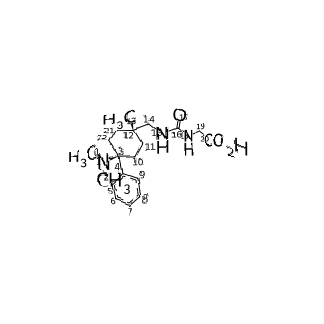 CN(C)[C@]1(c2ccccc2)CC[C@@](C)(CNC(=O)NCC(=O)O)CC1